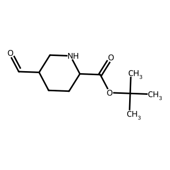 CC(C)(C)OC(=O)C1CCC(C=O)CN1